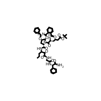 CCCC(NC(=O)[C@@H]1C[C@@H](OCc2ccccc2)CN1C(=O)[C@H](CCCC(=O)OC(C)(C)C)NC(=O)c1ccccc1C(N)=O)C(=O)C(=O)NCC(=O)N[C@H](C(N)=O)c1ccccc1